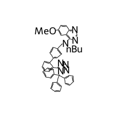 CCCCN(Cc1ccc(-c2ccccc2-c2nnnn2C(c2ccccc2)(c2ccccc2)c2ccccc2)cc1)c1ncnc2ccc(OC)cc12